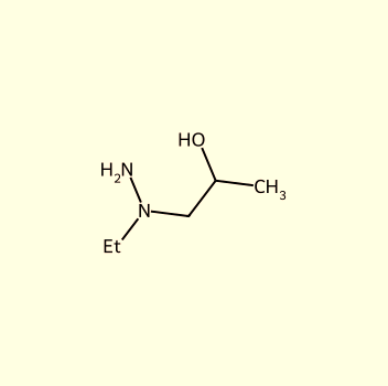 CCN(N)CC(C)O